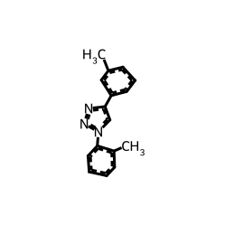 Cc1cccc(-c2cn(-c3ccccc3C)nn2)c1